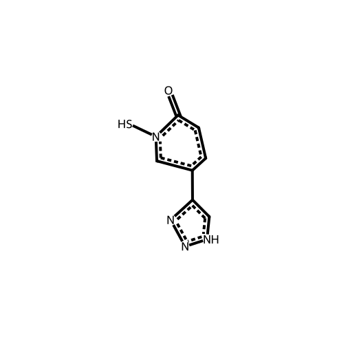 O=c1ccc(-c2c[nH]nn2)cn1S